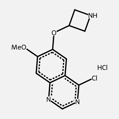 COc1cc2ncnc(Cl)c2cc1OC1CNC1.Cl